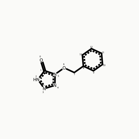 O=c1[nH]nnn1OCc1ccccc1